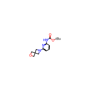 CC(C)(C)OC(=O)Nc1cccc(N2CC3(COC3)C2)n1